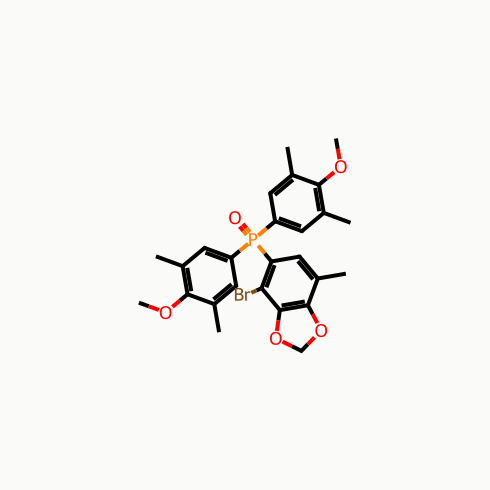 COc1c(C)cc(P(=O)(c2cc(C)c(OC)c(C)c2)c2cc(C)c3c(c2Br)OCO3)cc1C